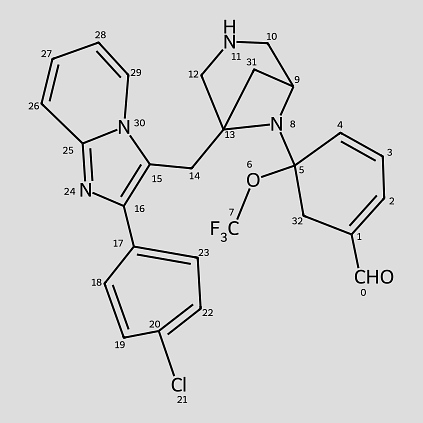 O=CC1=CC=CC(OC(F)(F)F)(N2C3CNCC2(Cc2c(-c4ccc(Cl)cc4)nc4ccccn24)C3)C1